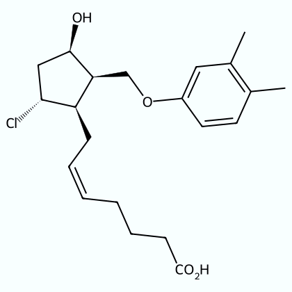 Cc1ccc(OC[C@H]2[C@@H](C/C=C\CCCC(=O)O)[C@H](Cl)C[C@H]2O)cc1C